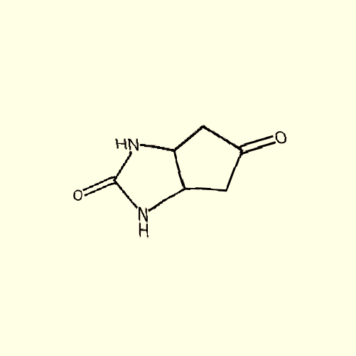 O=C1CC2NC(=O)NC2C1